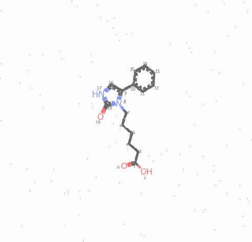 O=C(O)CCCCCn1c(-c2ccccc2)c[nH]c1=O